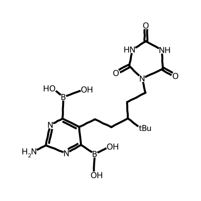 CC(C)(C)C(CCc1c(B(O)O)nc(N)nc1B(O)O)CCn1c(=O)[nH]c(=O)[nH]c1=O